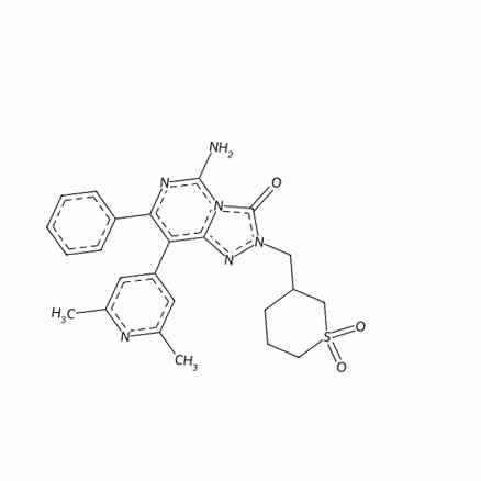 Cc1cc(-c2c(-c3ccccc3)nc(N)n3c(=O)n(CC4CCCS(=O)(=O)C4)nc23)cc(C)n1